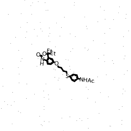 CCC1(CC)OC(=O)Nc2ccc(OCCCCSc3ccc(NC(C)=O)cc3)cc21